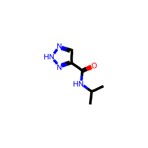 CC(C)NC(=O)c1cn[nH]n1